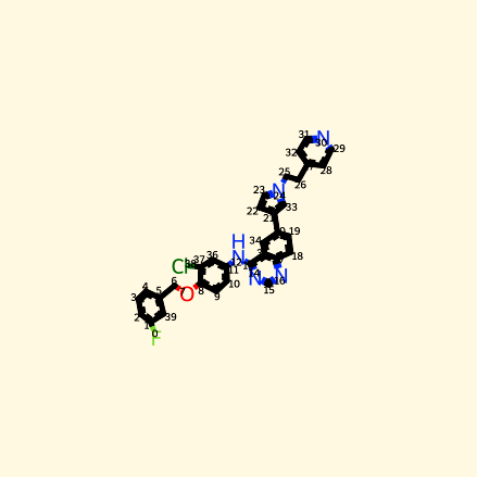 Fc1cccc(COc2ccc(Nc3ncnc4ccc(-c5ccn(CCc6ccncc6)c5)cc34)cc2Cl)c1